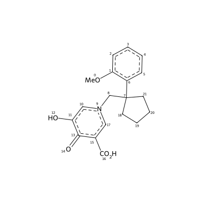 COc1ccccc1C1(Cn2cc(O)c(=O)c(C(=O)O)c2)CCCC1